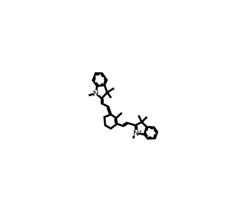 CC1=C(/C=C/C2=[N+](C)c3ccccc3C2(C)C)CCC/C1=C\C=C1\N(C)c2ccccc2C1(C)C